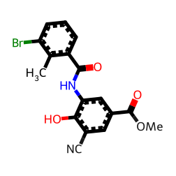 COC(=O)c1cc(C#N)c(O)c(NC(=O)c2cccc(Br)c2C)c1